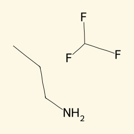 CCCN.FC(F)F